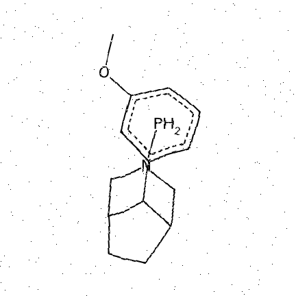 COc1cccc(C2C3CCC2CN(P)C3)c1